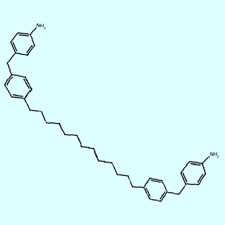 Nc1ccc(Cc2ccc(CCCCCCCCCCCCCc3ccc(Cc4ccc(N)cc4)cc3)cc2)cc1